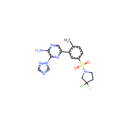 Cc1ccc(S(=O)(=O)N2CCC(F)(F)C2)cc1-c1cnc(N)c(-n2cncn2)n1